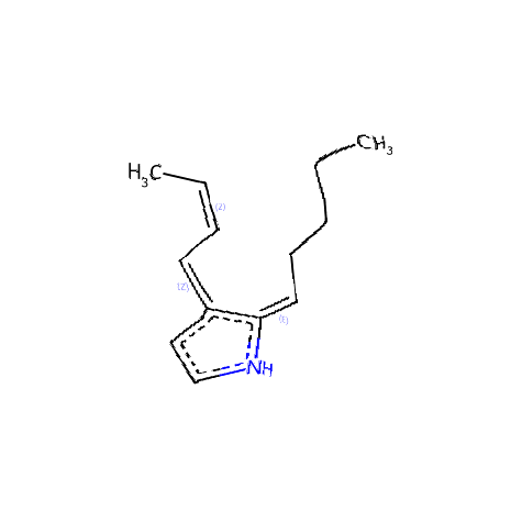 C\C=C/C=c1/cc[nH]/c1=C/CCCC